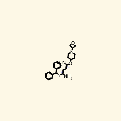 N/C(=C\C=C(/N)OC1CCN(C2COC2)CC1)N=C(c1ccccc1)c1ccccc1